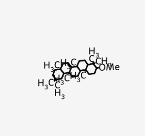 COC1CCC2(C)C3CCC4(C)C(=CCC5(C)CCC(C)(C)CC54)C3(C)CCC2C1(C)C